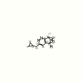 CC1(C)[C@H]2CC[C@]1(C)c1nnc(CC3CC3)cc12